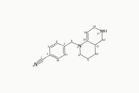 N#Cc1ccc(CN2CCCC3CNCC=C32)cc1